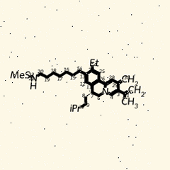 C=C(C)C1=CN2C[C@H](CCC(C)C)c3cc(CCCCCCCNSC)c(CC)cc3C2=CC1=C